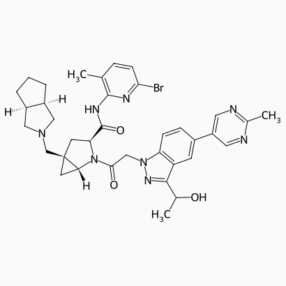 Cc1ncc(-c2ccc3c(c2)c(C(C)O)nn3CC(=O)N2[C@H](C(=O)Nc3nc(Br)ccc3C)C[C@@]3(CN4C[C@H]5CCC[C@H]5C4)C[C@@H]23)cn1